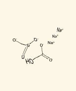 O=C([O-])O.O=[Si]([O-])[O-].[Na+].[Na+].[Na+]